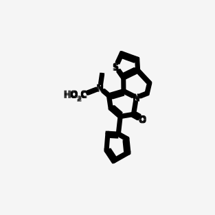 CN(C(=O)O)c1cc(-c2ccccc2)c(=O)n2c1-c1sccc1CC2